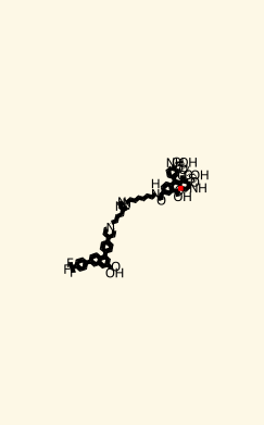 N=c1ccc2c(-c3ccc(C(=O)NCCCCCCn4cc(CCCCN5CCC(c6ccc(-c7cc(C(=O)O)cc8cc(-c9ccc(C(F)(F)F)cc9)ccc78)cc6)CC5)nn4)cc3C(=O)O)c3ccc(N)c(S(=O)(=O)O)c3oc-2c1S(=O)(=O)O